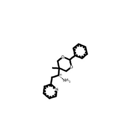 CC1([C@H](N)Cc2ccccn2)COC(c2ccccc2)OC1